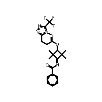 CC1(C)C(=NC(=O)c2ccccc2)C(C)(C)C1OC1=Nn2c(nnc2C(F)(F)F)CC1